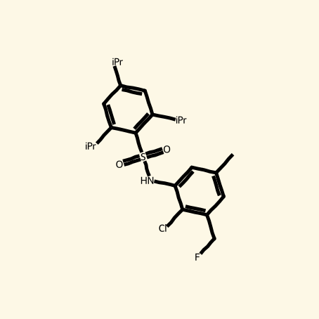 Cc1cc(CF)c(Cl)c(NS(=O)(=O)c2c(C(C)C)cc(C(C)C)cc2C(C)C)c1